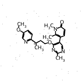 COc1ccc([C@H](C)CCOc2nc(C)ncc2-c2ccc(=O)n(C)c2C)nc1